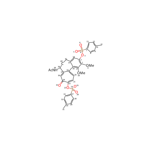 COc1c(OS(=O)(=O)c2ccc(C)cc2)cc2c(c1OC)-c1ccc(OS(=O)(=O)c3ccc(C)cc3)c(=O)cc1C(NC(C)=O)CC2